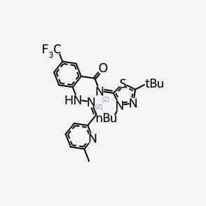 CCCCn1nc(C(C)(C)C)s/c1=N\C(=O)c1cc(C(F)(F)F)ccc1N/N=C\c1cccc(C)n1